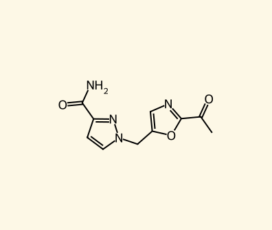 CC(=O)c1ncc(Cn2ccc(C(N)=O)n2)o1